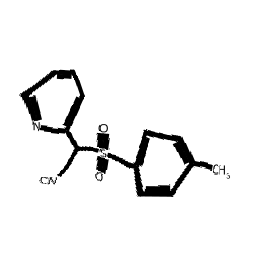 [C-]#[N+]C(c1ccccn1)S(=O)(=O)c1ccc(C)cc1